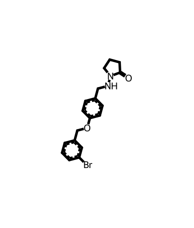 O=C1CCCN1NCc1ccc(OCc2cccc(Br)c2)cc1